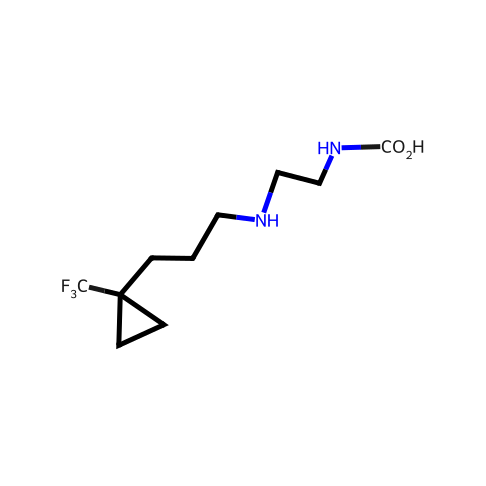 O=C(O)NCCNCCCC1(C(F)(F)F)CC1